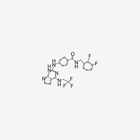 O=C(NCc1cccc(F)c1F)c1ccc(Nc2nc(NCC(F)(F)F)c3ccnc-3[nH]2)cc1